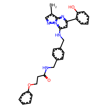 Bc1cnn2c(NCc3ccc(CNC(=O)CCOc4ccccc4)cc3)cc(-c3ccccc3O)nc12